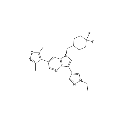 CCn1cc(-c2cn(CC3CCC(F)(F)CC3)c3cc(-c4c(C)noc4C)cnc23)cn1